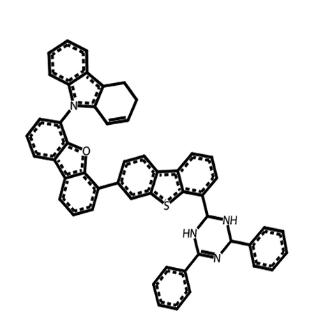 C1=Cc2c(c3ccccc3n2-c2cccc3c2oc2c(-c4ccc5c(c4)sc4c(C6NC(c7ccccc7)=NC(c7ccccc7)N6)cccc45)cccc23)CC1